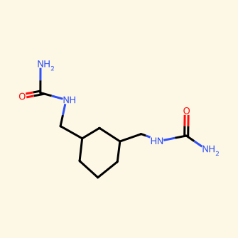 NC(=O)NCC1CCCC(CNC(N)=O)C1